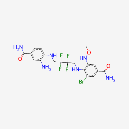 CONc1cc(C(N)=O)cc(Br)c1NCC(F)(F)C(F)(F)CNc1ccc(C(N)=O)cc1N